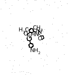 Cc1cc(C)c(-c2nnc([C@H]3CCCO3)[nH]2)cc1C(=O)N1CCC(c2ccc(N)cc2)CC1